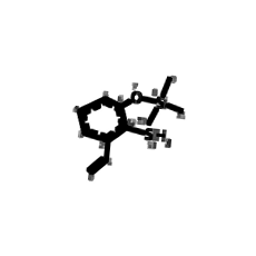 C=Cc1cccc(O[Si](C)(C)C)c1[SiH3]